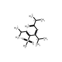 C=C(/C=C(\C(=C\C(C)C)S(=O)(=O)O)C(C)C)C(C)C